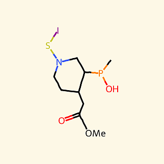 COC(=O)CC1CCN(SI)CC1P(C)O